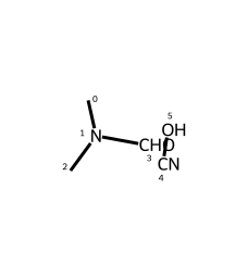 CN(C)C=O.N#CO